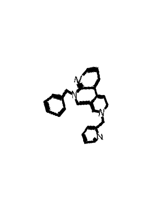 C1=C2CN(Cc3ccccn3)CC=C2c2cccnc2N1Cc1ccccc1